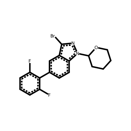 Fc1cccc(F)c1-c1ccc2c(c1)c(Br)nn2C1CCCCO1